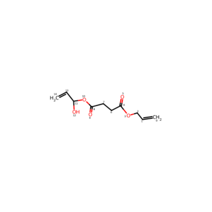 C=CCOC(=O)CCC(=O)OC(O)C=C